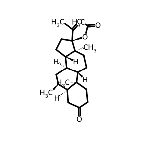 CC(=O)O[C@]1(C(C)=O)CC[C@H]2[C@@H]3C[C@H](C)[C@@H]4CC(=O)CC[C@]4(C)[C@H]3CC[C@@]21C